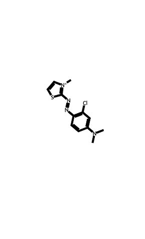 CN(C)c1ccc(N=Nc2scc[n+]2C)c(Cl)c1